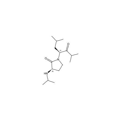 CC(C)C[C@@H](C(=O)C(C)C)N1CC[C@@H](NC(C)C)C1=O